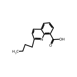 CCCCc1ccc2cccc(C(=O)O)c2n1